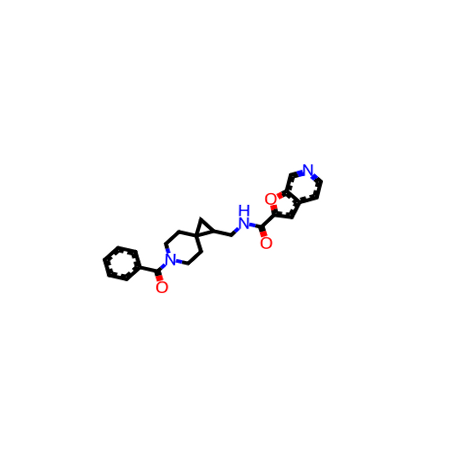 O=C(NCC1CC12CCN(C(=O)c1ccccc1)CC2)c1cc2ccncc2o1